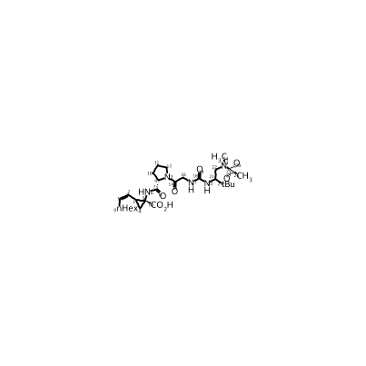 CCCCCC/C=C\C1C[C@]1(NC(=O)[C@@H]1CCCN1C(=O)CNC(=O)NC(CN(C)S(C)(=O)=O)C(C)(C)C)C(=O)O